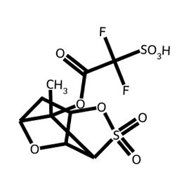 CC1(OC(=O)C(F)(F)S(=O)(=O)O)C2CC3OS(=O)(=O)C1C3O2